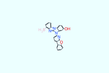 Bc1cccc2c1nc1n(-c3ccc4c(n3)oc3ccccc34)c3cc(O)ccc3n21